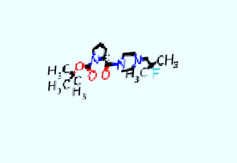 CC(C)(F)CN1CCN(C(=O)[C@@H]2CCCN2C(=O)OC(C)(C)C)CC1